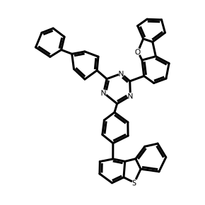 c1ccc(-c2ccc(-c3nc(-c4ccc(-c5cccc6sc7ccccc7c56)cc4)nc(-c4cccc5c4oc4ccccc45)n3)cc2)cc1